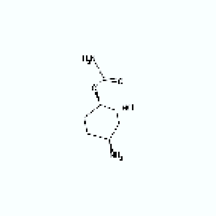 Cl.NC(=O)O[C@H]1CC[C@@H](N)CC1